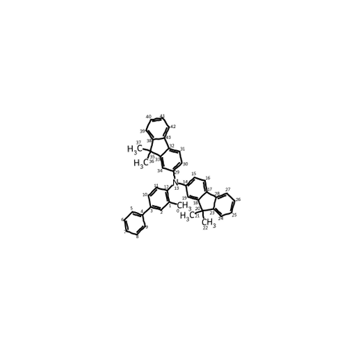 Cc1cc(-c2ccccc2)ccc1N(c1ccc2c(c1)C(C)(C)c1ccccc1-2)c1ccc2c(c1)C(C)(C)c1ccccc1-2